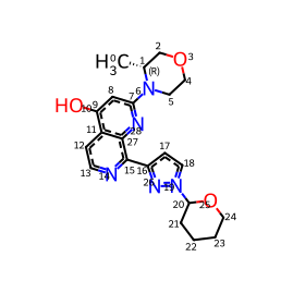 C[C@@H]1COCCN1c1cc(O)c2ccnc(-c3ccn(C4CCCCO4)n3)c2n1